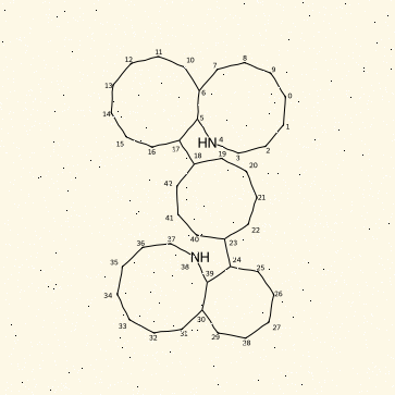 C1CCCNC2C(CCC1)CCCCCCCC2C1CCCCC(C2CCCCCC3CCCCCCCNC32)CCC1